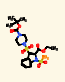 CCOC(=O)c1c(S(=O)(=O)N2CCN(C(=O)OC(C)(C)C)CC2)c2ccccc2n1S(=O)(=O)P